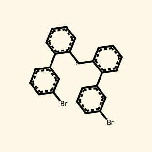 Brc1cccc(-c2ccccc2[C]c2ccccc2-c2cccc(Br)c2)c1